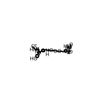 Cn1c(=O)n([C@H]2CCC(=O)NC2=O)c2ccc(CCCOCCOCCOCCNCc3ccc(-c4cn([C@H]5CC[C@H](O)CC5)c5nc(NCCC(F)(F)F)ncc45)cc3)cc21